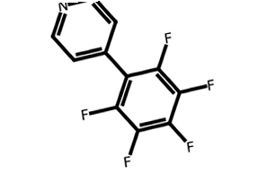 Fc1c(F)c(F)c(-c2c[c]ncc2)c(F)c1F